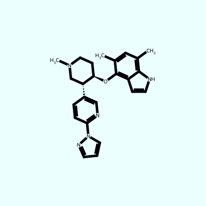 Cc1cc(C)c2[nH]ccc2c1O[C@@H]1CCN(C)C[C@H]1c1ccc(-n2cccn2)nc1